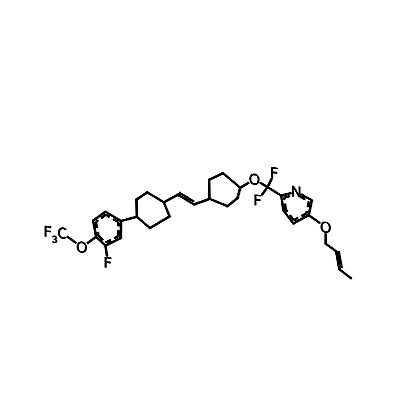 C/C=C/COc1ccc(C(F)(F)OC2CCC(/C=C/C3CCC(c4ccc(OC(F)(F)F)c(F)c4)CC3)CC2)nc1